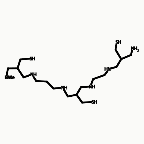 CNCC(CS)CNCCCNCC(CS)CNCCNCC(CN)CS